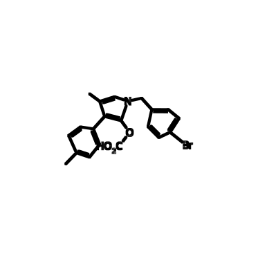 Cc1ccc(-c2c(C)cn(Cc3ccc(Br)cc3)c2OC(=O)O)cc1